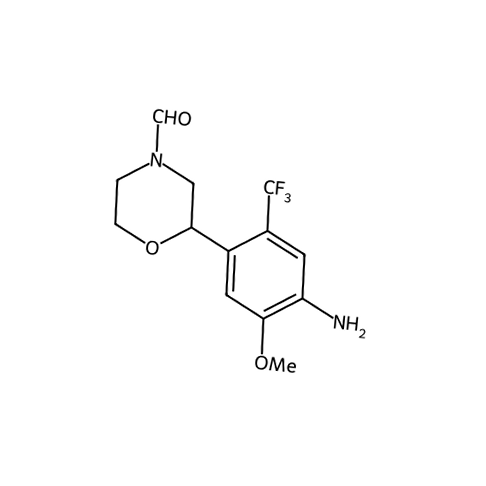 COc1cc(C2CN(C=O)CCO2)c(C(F)(F)F)cc1N